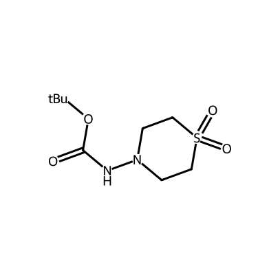 CC(C)(C)OC(=O)NN1CCS(=O)(=O)CC1